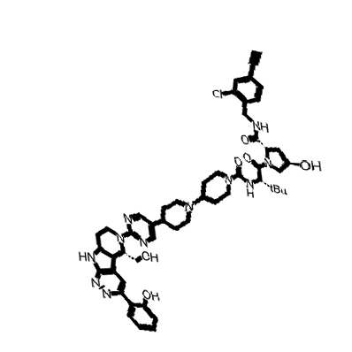 C#Cc1ccc(CNC(=O)[C@@H]2C[C@@H](O)CN2C(=O)[C@@H](NC(=O)N2CCC(N3CCC(c4cnc(N5CCC6Nc7nnc(-c8ccccc8O)cc7C6[C@H]5CO)nc4)CC3)CC2)C(C)(C)C)c(Cl)c1